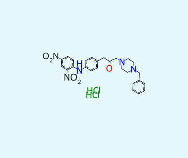 Cl.Cl.O=C(Cc1ccc(Nc2ccc([N+](=O)[O-])cc2[N+](=O)[O-])cc1)CN1CCN(Cc2ccccc2)CC1